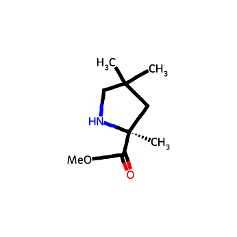 COC(=O)[C@]1(C)CC(C)(C)CN1